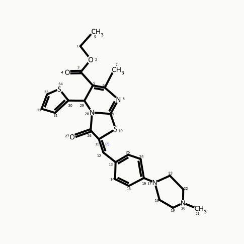 CCOC(=O)C1=C(C)N=c2s/c(=C\c3ccc(N4CCN(C)CC4)cc3)c(=O)n2C1c1cccs1